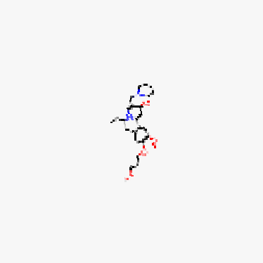 CCC1Cc2cc(OCCCOC)c(OC)cc2-c2cc(=O)c(CN3CCCCC3)cn21